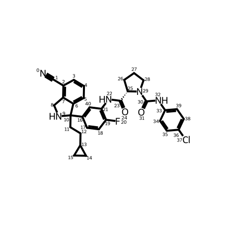 N#Cc1cccc2c1CNC2(CCC1CC1)c1ccc(F)c(NC(=O)[C@@H]2CCCN2C(=O)Nc2ccc(Cl)cc2)c1